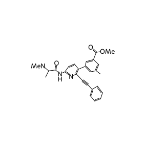 CNC(C)C(=O)Nc1ccc(-c2cc(C)cc(C(=O)OC)c2)c(C#Cc2ccccc2)n1